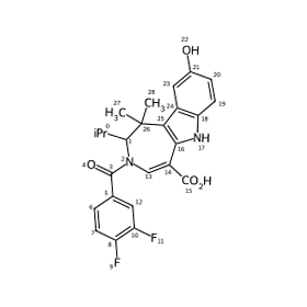 CC(C)C1N(C(=O)c2ccc(F)c(F)c2)C=C(C(=O)O)c2[nH]c3ccc(O)cc3c2C1(C)C